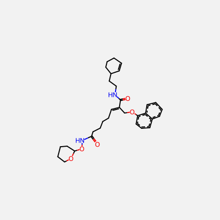 O=C(CCCC/C=C(\COc1cccc2ccccc12)C(=O)NCCC1C=CCCC1)NOC1CCCCO1